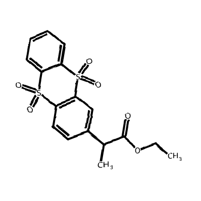 CCOC(=O)C(C)c1ccc2c(c1)S(=O)(=O)c1ccccc1S2(=O)=O